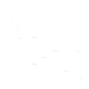 COc1cc(C(=O)O)ccc1Oc1cc(C(=O)OCC2(O)COC(=O)C2O)cc(OC)c1O